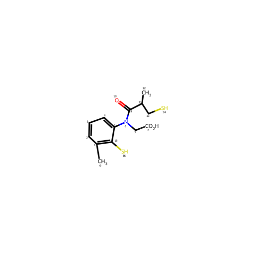 Cc1cccc(N(CC(=O)O)C(=O)C(C)CS)c1S